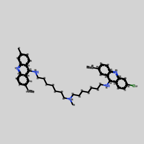 COc1ccc2nc3cc(C)ccc3c(NCCCCCCCN(C)CCCCCCCNc3c4ccc(Cl)cc4nc4ccc(OC)cc34)c2c1